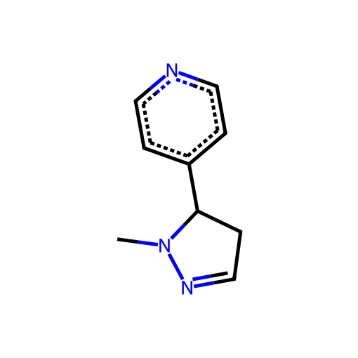 CN1N=CCC1c1ccncc1